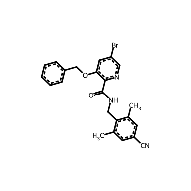 Cc1cc(C#N)cc(C)c1CNC(=O)c1ncc(Br)cc1OCc1ccccc1